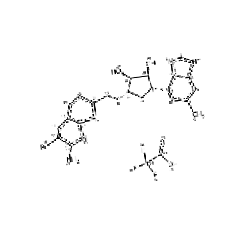 Cc1cc2ncnc-2n([C@@H]2C[C@H](CCc3ccc4cc(Br)c(N)nc4c3)[C@@H](O)[C@H]2O)c1.O=C(O)C(F)(F)F